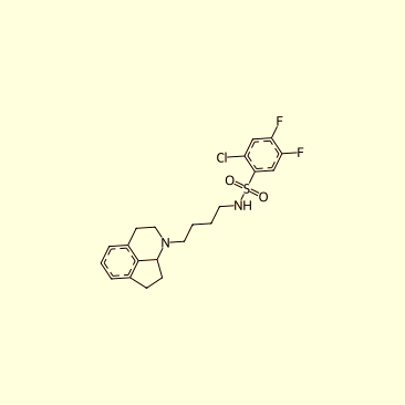 O=S(=O)(NCCCCN1CCc2cccc3c2C1CC3)c1cc(F)c(F)cc1Cl